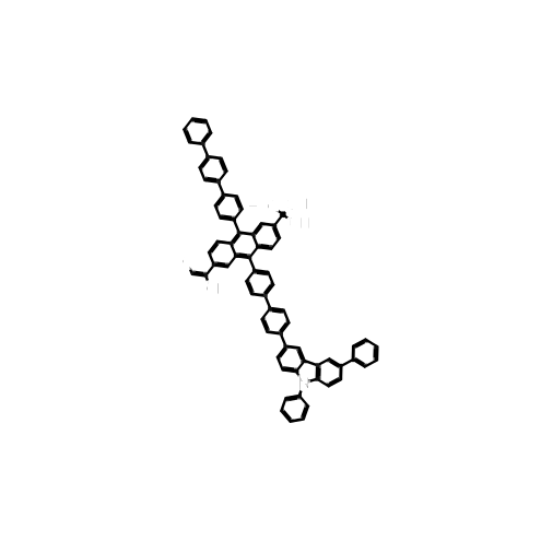 C/C=C(/C)c1ccc2c(-c3ccc(-c4ccc(-c5ccccc5)cc4)cc3)c3cc(C(C)(C)C)ccc3c(-c3ccc(-c4ccc(-c5ccc6c(c5)c5cc(-c7ccccc7)ccc5n6-c5ccccc5)cc4)cc3)c2c1